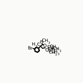 COC(=O)C(C)(CCO[Si](C)(C)C(C)(C)C)c1cccc(Br)c1